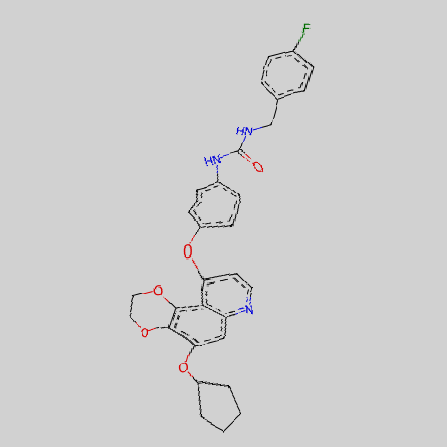 O=C(NCc1ccc(F)cc1)Nc1ccc(Oc2ccnc3cc(OC4CCCC4)c4c(c23)OCCO4)cc1